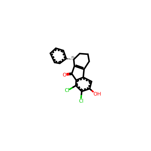 O=C1C2=C(CCC[C@H]2c2ccccc2)c2cc(O)c(Cl)c(Cl)c21